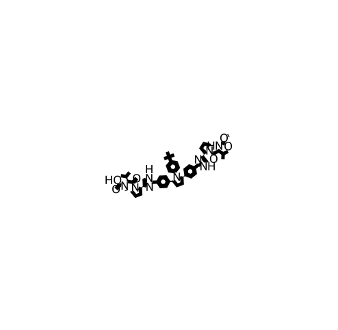 COC(=O)N[C@H](C(=O)N1CCC[C@H]1c1c[nH]c(-c2ccc([C@@H]3CC[C@@H](c4ccc(-c5nc([C@@H]6CCCN6C(=O)[C@H](C(C)C)N(C)C(=O)O)c[nH]5)cc4)N3c3ccc(C(C)(C)C)cc3)cc2)n1)C(C)C